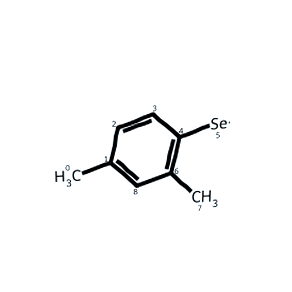 Cc1ccc([Se])c(C)c1